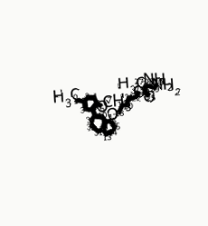 CCc1ccc(OC)c(C2=Cc3c(cccc3OCCCCCOC(=O)C(C)(N)CN)CCC2)c1